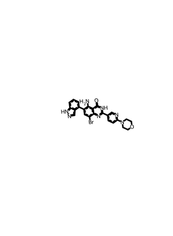 Nc1c(-c2cccc3[nH]ncc23)cc(Br)c2nc(-c3ccc(N4CCOCC4)nc3)[nH]c(=O)c12